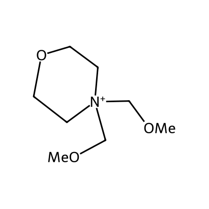 COC[N+]1(COC)CCOCC1